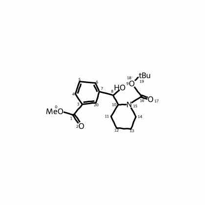 COC(=O)c1cccc(C(O)C2CCCCN2C(=O)OC(C)(C)C)c1